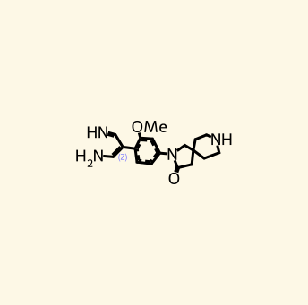 COc1cc(N2CC3(CCNCC3)CC2=O)ccc1/C(C=N)=C/N